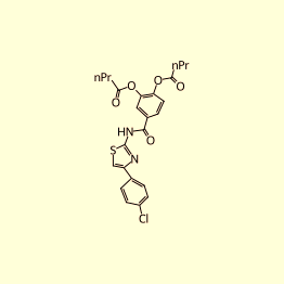 CCCC(=O)Oc1ccc(C(=O)Nc2nc(-c3ccc(Cl)cc3)cs2)cc1OC(=O)CCC